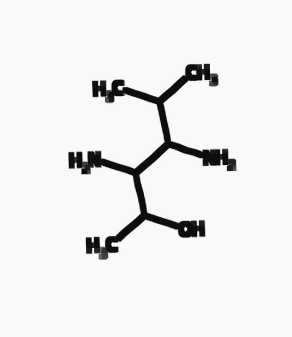 CC(C)C(N)C(N)C(C)O